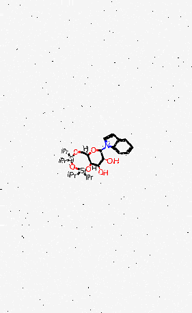 CC(C)[Si]1(C(C)C)OC[C@H]2O[C@@H](n3ccc4ccccc43)[C@H](O)[C@@H](O)[C@@H]2O[Si](C(C)C)(C(C)C)O1